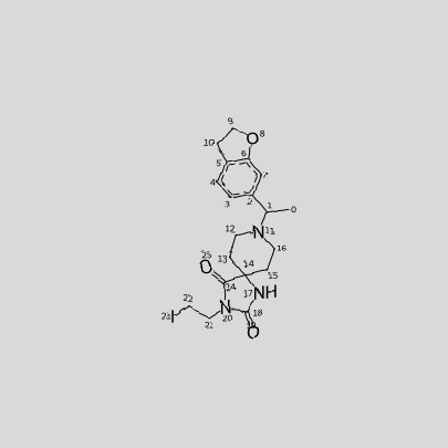 CC(c1ccc2c(c1)OCC2)N1CCC2(CC1)NC(=O)N(CCI)C2=O